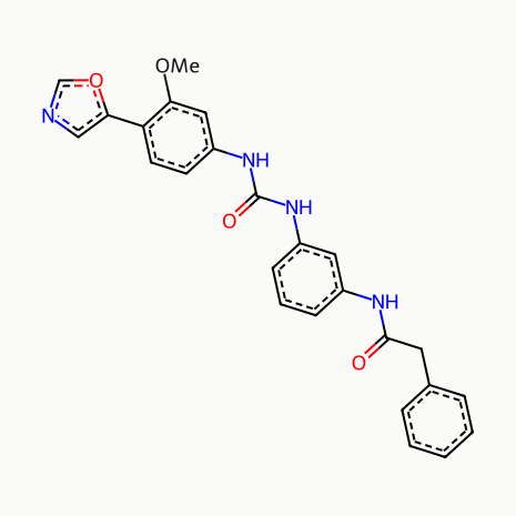 COc1cc(NC(=O)Nc2cccc(NC(=O)Cc3ccccc3)c2)ccc1-c1cnco1